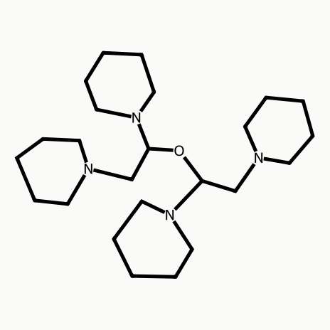 C1CCN(CC(OC(CN2CCCCC2)N2CCCCC2)N2CCCCC2)CC1